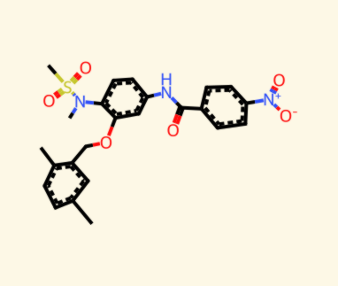 Cc1ccc(C)c(COc2cc(NC(=O)c3ccc([N+](=O)[O-])cc3)ccc2N(C)S(C)(=O)=O)c1